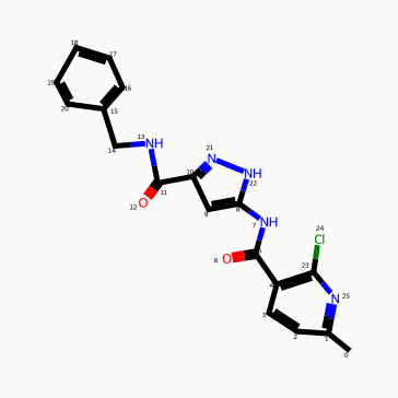 Cc1ccc(C(=O)Nc2cc(C(=O)NCc3ccccc3)n[nH]2)c(Cl)n1